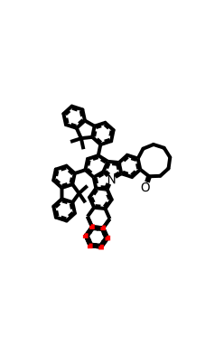 CC1(C)c2ccccc2-c2cccc(-c3cc(-c4cccc5c4C(C)(C)c4ccccc4-5)c4c5cc6c(cc5n5c7cc8c(cc7c3c45)CCCCCCC8=O)C3c4ccccc4C6c4ccccc43)c21